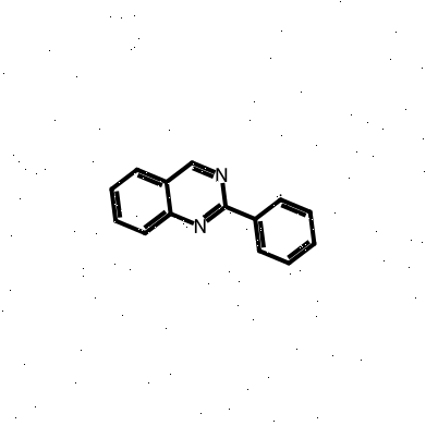 [c]1ccccc1-c1ncc2ccccc2n1